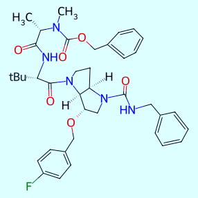 C[C@@H](C(=O)N[C@H](C(=O)N1CC[C@@H]2[C@H]1[C@@H](OCc1ccc(F)cc1)CN2C(=O)NCc1ccccc1)C(C)(C)C)N(C)C(=O)OCc1ccccc1